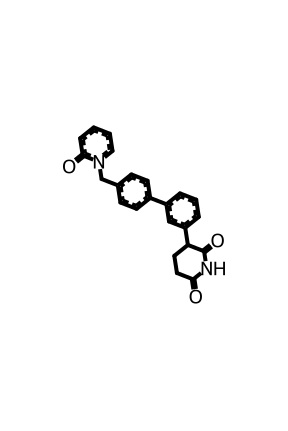 O=C1CCC(c2cccc(-c3ccc(Cn4ccccc4=O)cc3)c2)C(=O)N1